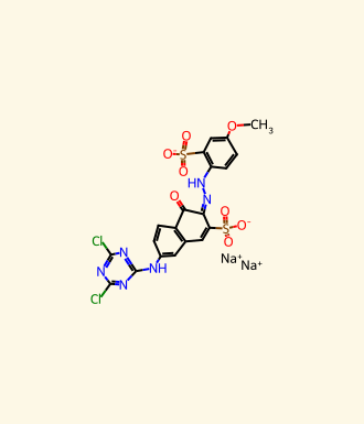 COc1ccc(N/N=C2\C(=O)c3ccc(Nc4nc(Cl)nc(Cl)n4)cc3C=C2S(=O)(=O)[O-])c(S(=O)(=O)[O-])c1.[Na+].[Na+]